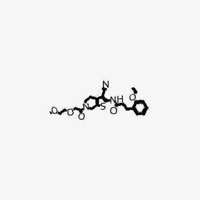 CCOc1ccccc1CCC(=O)Nc1sc2c(c1C#N)CCN(C(=O)COCCOC)C2